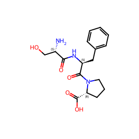 N[C@@H](CO)C(=O)N[C@@H](Cc1ccccc1)C(=O)N1CCC[C@@H]1C(=O)O